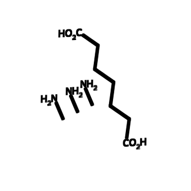 CN.CN.CN.O=C(O)CCCCCC(=O)O